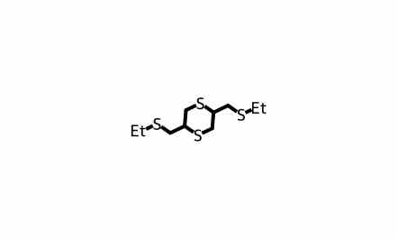 CCSCC1CSC(CSCC)CS1